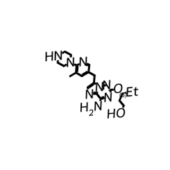 CC[C@@H](CCO)Oc1nc(N)c2ncc(Cc3cnc(N4CCNCC4)c(C)c3)n2n1